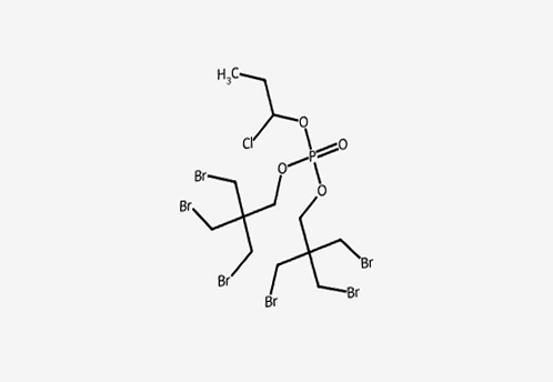 CCC(Cl)OP(=O)(OCC(CBr)(CBr)CBr)OCC(CBr)(CBr)CBr